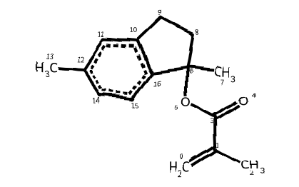 C=C(C)C(=O)OC1(C)CCc2cc(C)ccc21